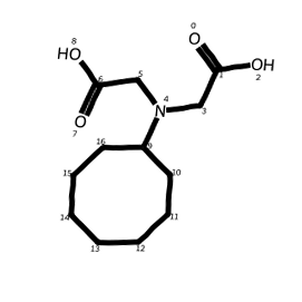 O=C(O)CN(CC(=O)O)C1CCCCCCC1